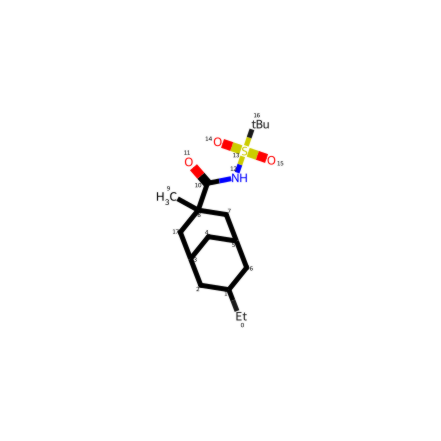 CCC1CC2CC(C1)CC(C)(C(=O)NS(=O)(=O)C(C)(C)C)C2